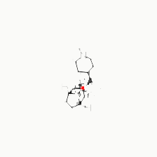 CN1CCC(CS(=O)(=O)N2[C@@H]3CC[C@H]2CC(N)C3)CC1